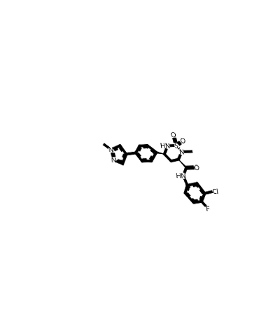 CN1[C@@H](C(=O)Nc2ccc(F)c(Cl)c2)C[C@@H](c2ccc(-c3cnn(C)c3)cc2)NS1(=O)=O